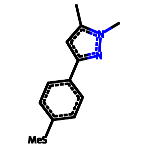 CSc1ccc(-c2cc(C)n(C)n2)cc1